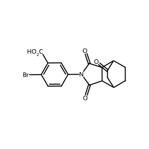 O=C(O)c1cc(N2C(=O)C3C4CCC(C(=O)C4)C3C2=O)ccc1Br